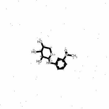 C[N+](=O)c1cccc(NC2OCC(O)C(O)C2O)c1